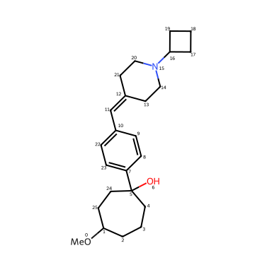 COC1CCCC(O)(c2ccc(C=C3CCN(C4CCC4)CC3)cc2)CC1